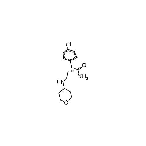 NC(=O)[C@H](CCNC1CCOCC1)c1ccc(Cl)cc1